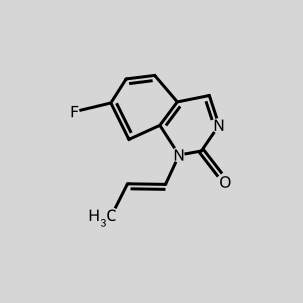 CC=Cn1c(=O)ncc2ccc(F)cc21